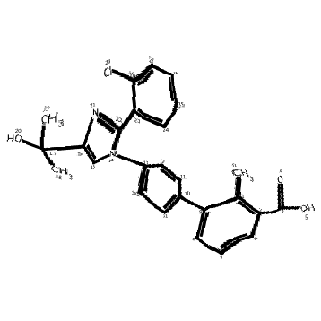 Cc1c(C(=O)O)cccc1-c1ccc(-n2cc(C(C)(C)O)nc2-c2ccccc2Cl)cc1